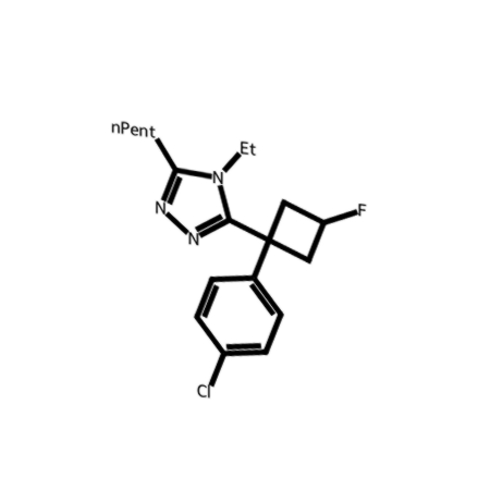 CCCCCc1nnc(C2(c3ccc(Cl)cc3)CC(F)C2)n1CC